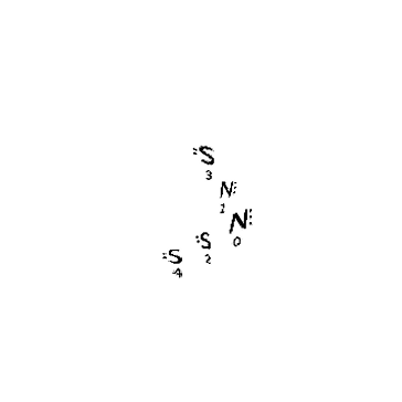 [N].[N].[S].[S].[S]